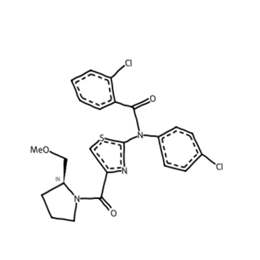 COC[C@@H]1CCCN1C(=O)c1csc(N(C(=O)c2ccccc2Cl)c2ccc(Cl)cc2)n1